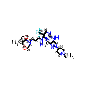 Cc1nn(C2CCN(C)CC2)cc1Nc1ncc(C(F)(F)F)c(NCCCN2CCOCC(C)(C)C2=O)n1